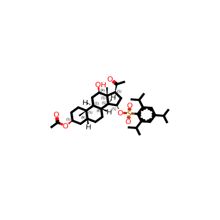 CC(=O)O[C@H]1CC[C@@]2(C)[C@H](CC[C@H]3[C@@H]4[C@@H](OS(=O)(=O)c5c(C(C)C)cc(C(C)C)cc5C(C)C)C[C@H](C(C)=O)[C@@]4(C)[C@H](O)C[C@@H]32)C1